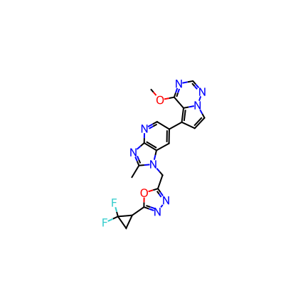 COc1ncnn2ccc(-c3cnc4nc(C)n(Cc5nnc(C6CC6(F)F)o5)c4c3)c12